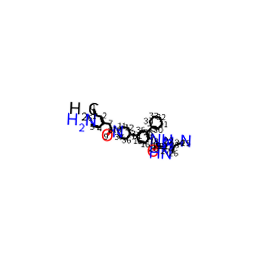 C=C/C=C(\C=C/N)CC(=O)N1CCC(c2ccc(NC(=O)c3nc(C#N)c[nH]3)c(C3=CCCCC3)c2)CC1